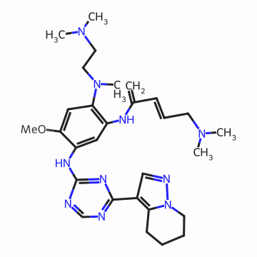 C=C(/C=C/CN(C)C)Nc1cc(Nc2ncnc(-c3cnn4c3CCCC4)n2)c(OC)cc1N(C)CCN(C)C